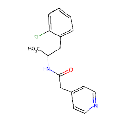 O=C(Cc1ccncc1)NC(Cc1ccccc1Cl)C(=O)O